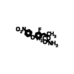 CC(C)(Cc1ccc(Oc2ccc([N+](=O)[O-])cc2)cc1F)OC(N)=O